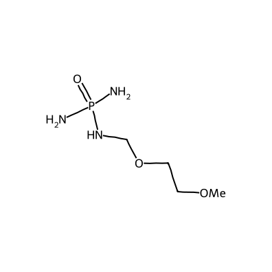 COCCOCNP(N)(N)=O